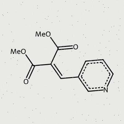 COC(=O)C(=Cc1cccnc1)C(=O)OC